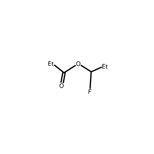 CCC(=O)OC(F)CC